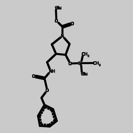 CC(C)(C)OC(=O)N1CC(CNC(=O)OCc2ccccc2)C(O[Si](C)(C)C(C)(C)C)C1